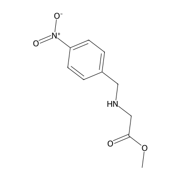 COC(=O)CNCc1ccc([N+](=O)[O-])cc1